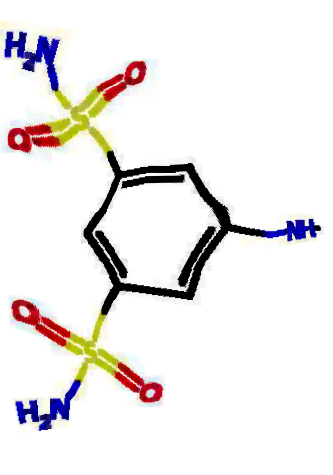 [NH]c1cc(S(N)(=O)=O)cc(S(N)(=O)=O)c1